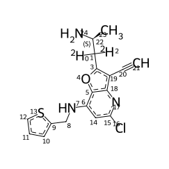 [2H]C([2H])(c1oc2c(NCc3cccs3)cc(Cl)nc2c1C#C)[C@H](C)N